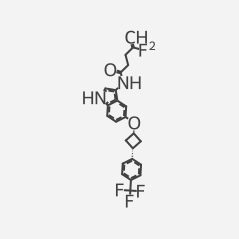 C=C(F)CCC(=O)Nc1c[nH]c2ccc(O[C@H]3C[C@@H](c4ccc(C(F)(F)F)cc4)C3)cc12